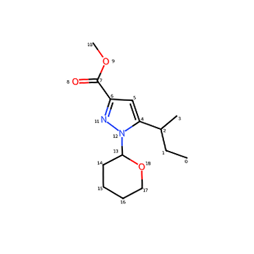 CCC(C)c1cc(C(=O)OC)nn1C1CCCCO1